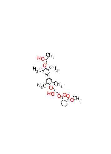 CCC(O)COc1c(C)cc(-c2cc(C)c(OCC(O)COC(=O)C3CCCCC3C(=O)OC)c(C)c2)cc1C